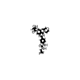 CC1COCCN1c1nc(-c2ccc(NC(=O)NCC(F)F)cc2)nc2c1CCN(C(=O)C(C)(C)O)C2